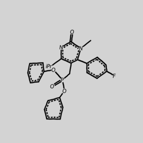 CC(C)c1nc(=O)n(C)c(-c2ccc(F)cc2)c1CP(=O)(Oc1ccccc1)Oc1ccccc1